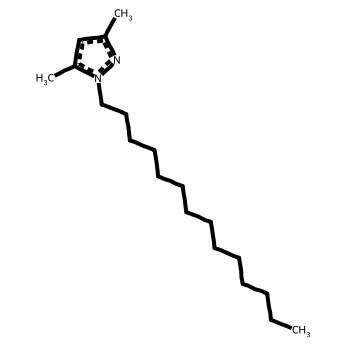 CCCCCCCCCCCCCCn1nc(C)cc1C